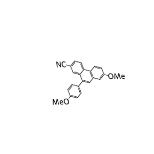 COc1ccc(-c2cc3cc(OC)ccc3c3ccc(C#N)cc23)cc1